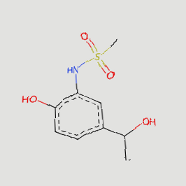 [CH2]C(O)c1ccc(O)c(NS(C)(=O)=O)c1